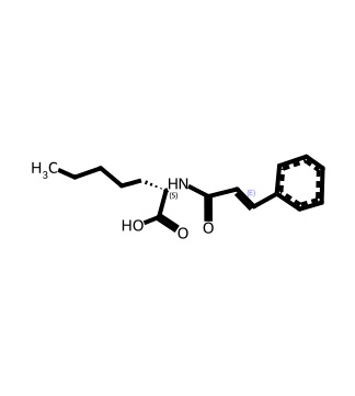 CCCCC[C@H](NC(=O)/C=C/c1ccccc1)C(=O)O